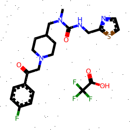 CN(CC1CCN(CC(=O)c2ccc(F)cc2)CC1)C(=O)NCc1nccs1.O=C(O)C(F)(F)F